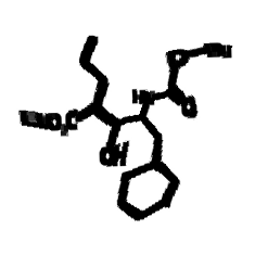 C=CCC(C(=O)OCC)C(O)C(CC1CCCCC1)NC(=O)OC(C)(C)C